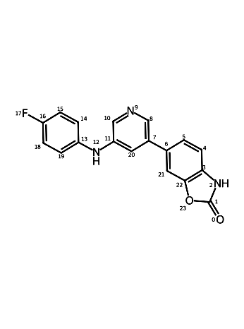 O=c1[nH]c2ccc(-c3cncc(Nc4ccc(F)cc4)c3)cc2o1